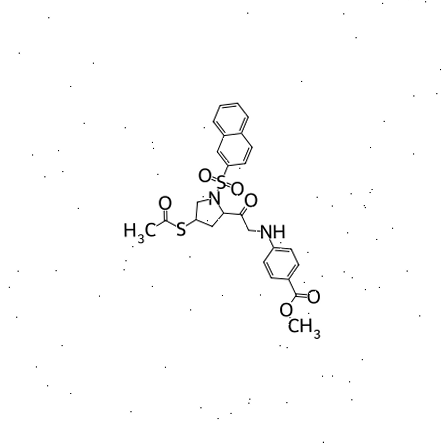 COC(=O)c1ccc(NCC(=O)C2CC(SC(C)=O)CN2S(=O)(=O)c2ccc3ccccc3c2)cc1